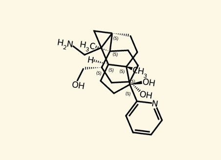 C[C@]1([C@@]23CC[C@@]4(C)[C@@H](CC[C@@]4(O)c4ccccn4)C2(CN)C3)CC[C@H](O)C[C@@H]1CO